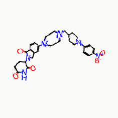 O=C1CCC(N2Cc3cc(N4CCN(CC5CCN(c6ccc([N+](=O)[O-])cc6)CC5)CC4)ccc3C2=O)C(=O)N1